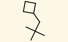 CC(C)(C)[CH]C1CCC1